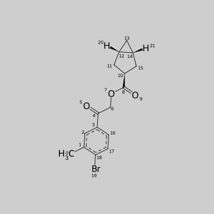 Cc1cc(C(=O)COC(=O)[C@H]2C[C@@H]3C[C@@H]3C2)ccc1Br